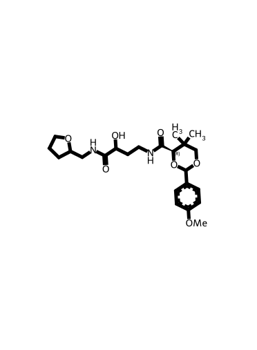 COc1ccc(C2OCC(C)(C)[C@H](C(=O)NCCC(O)C(=O)NCC3CCCO3)O2)cc1